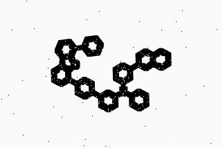 c1ccc(-c2cccc3c2oc2c(-c4ccc(-c5cccc(N(c6ccccc6)c6cccc(-c7ccc8ccccc8c7)c6)c5)cc4)cccc23)cc1